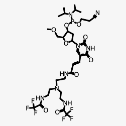 COCC1OC(n2cc(/C=C/C(=O)NCCN(CCNC(=O)C(F)(F)F)CCNC(=O)C(F)(F)F)c(=O)[nH]c2=O)CC1OP(OCCC#N)N(C(C)C)C(C)C